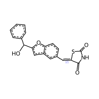 O=C1NC(=O)/C(=C/c2ccc3oc(C(O)c4ccccc4)cc3c2)S1